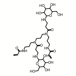 C=CC(=O)NCCCN(CCCN(CCCNC(=O)C=C)C(=O)CCNC1OC(CO)C(O)C(O)C1O)C(=O)CCNC1OC(CO)C(O)C(O)C1O